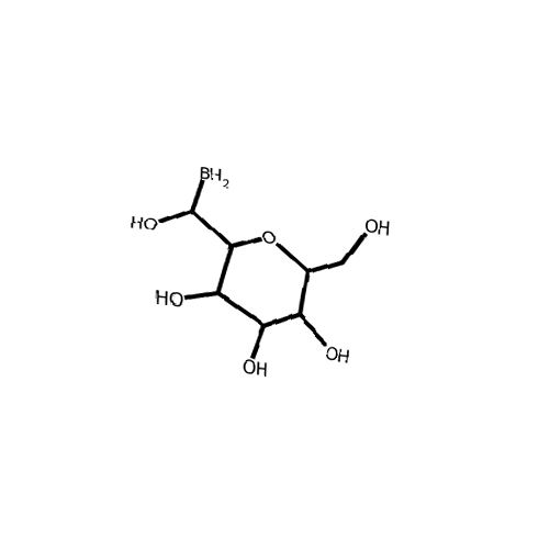 BC(O)C1OC(CO)C(O)C(O)C1O